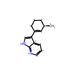 C[C@H]1C=C(c2c[nH]c3ncccc23)CCC1